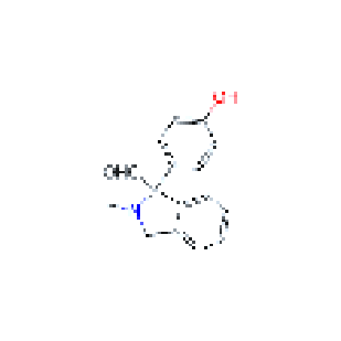 CN1Cc2ccccc2C1(C=O)c1ccc(O)cc1